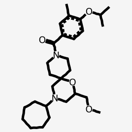 COCC1CN(C2CCCCCC2)CC2(CCN(C(=O)c3ccc(OC(C)C)c(C)c3)CC2)O1